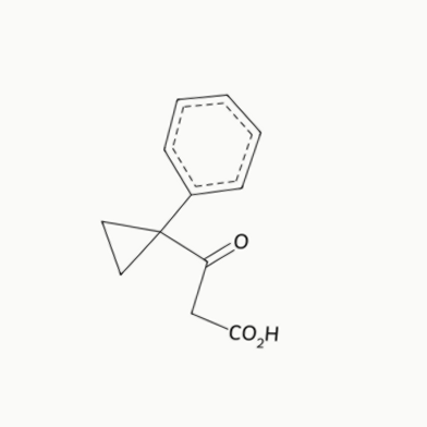 O=C(O)CC(=O)C1(c2ccccc2)CC1